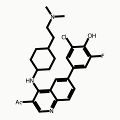 CC(=O)c1cnc2ccc(-c3cc(F)c(O)c(Cl)c3)cc2c1NC1CCC(CCN(C)C)CC1